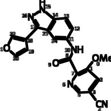 COc1cc(C#N)cnc1C(=O)Nc1ccc2[nH]nc(-c3ccoc3)c2c1